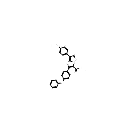 NC(=O)c1c(-c2ccc(Oc3ccccc3)cc2)[nH]c2c(-c3ccc(N)cc3)cnn12